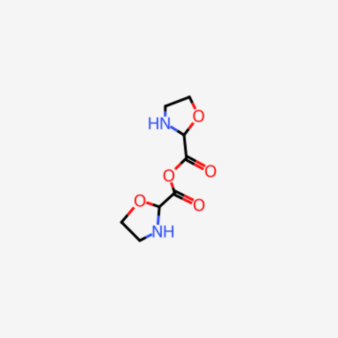 O=C(OC(=O)C1NCCO1)C1NCCO1